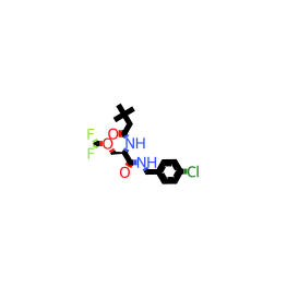 CC(C)(C)CC(=O)N[C@H](COC(F)F)C(=O)NCc1ccc(Cl)cc1